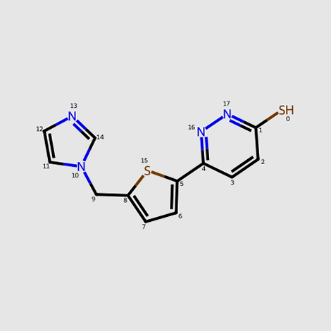 Sc1ccc(-c2ccc(Cn3ccnc3)s2)nn1